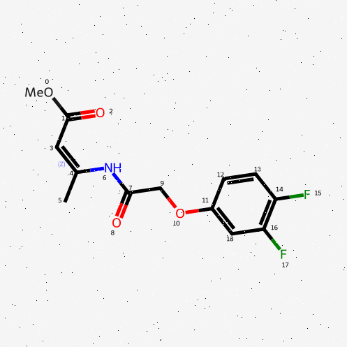 COC(=O)/C=C(/C)NC(=O)COc1ccc(F)c(F)c1